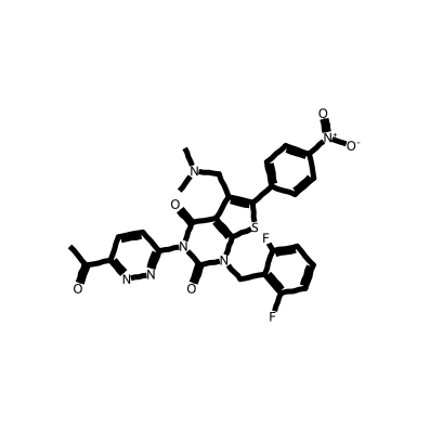 CC(=O)c1ccc(-n2c(=O)c3c(CN(C)C)c(-c4ccc([N+](=O)[O-])cc4)sc3n(Cc3c(F)cccc3F)c2=O)nn1